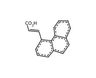 O=C(O)C=Cc1cccc2ccc3ccccc3c12